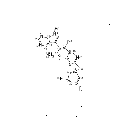 CC(C)n1cc(-c2ccc3cc(Cc4cc(F)cc(F)c4)ncc3c2F)c2c(N)ncnc21